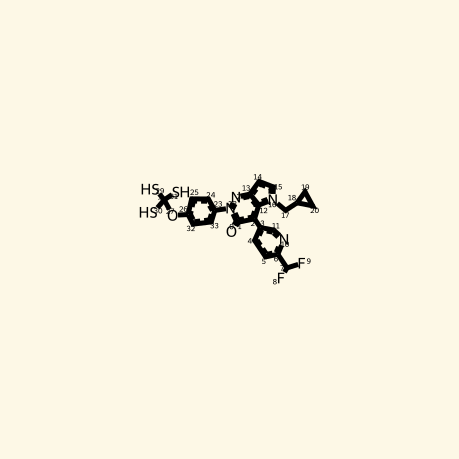 O=c1c(-c2ccc(C(F)F)nc2)c2c(ccn2CC2CC2)nn1-c1ccc(OC(S)(S)S)cc1